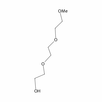 [CH2]OCCOCCOCCO